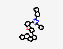 c1ccc(-c2nc(-c3ccc4ccccc4c3)nc(-c3cccc4oc5cc(-c6cccc7ccc8c9ccccc9ccc8c67)ccc5c34)n2)cc1